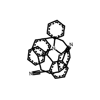 N#Cc1cccc(C#N)c1-c1cc2ccc1CCc1ccc(c(N(c3ccccc3)c3ccccc3)c1)CC2